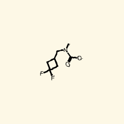 CN(CC1CC(F)(F)C1)C([O])=O